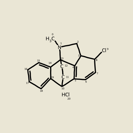 CN1CC2C3=C(C=CC2Cl)C2CCC31c1ccccc12.Cl